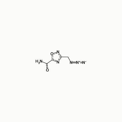 [N-]=[N+]=NCc1noc(C(N)=O)n1